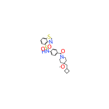 COC1(CC2CCC2)CCN(C(=O)c2ccc(NS(=O)(=O)c3cccc4scnc34)cc2)CC1